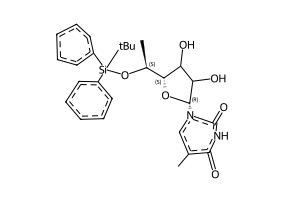 Cc1cn([C@@H]2O[C@H]([C@H](C)O[Si](c3ccccc3)(c3ccccc3)C(C)(C)C)C(O)C2O)c(=O)[nH]c1=O